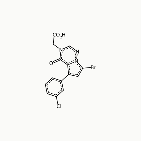 O=C(O)Cn1cnn2c(Br)cc(-c3cccc(Cl)c3)c2c1=O